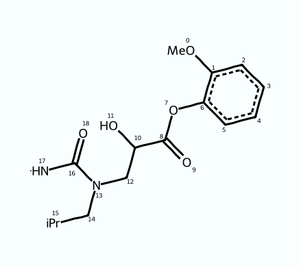 COc1ccccc1OC(=O)C(O)CN(CC(C)C)C([NH])=O